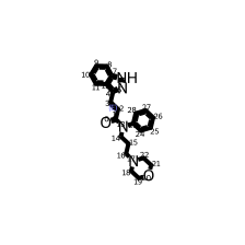 O=C(/C=C/c1n[nH]c2ccccc12)N(CCCN1CCOCC1)c1ccccc1